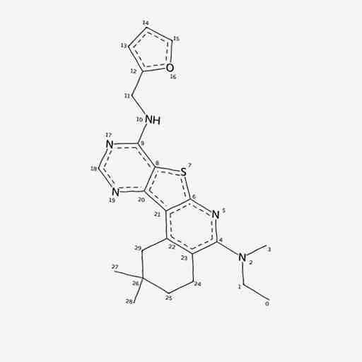 CCN(C)c1nc2sc3c(NCc4ccco4)ncnc3c2c2c1CCC(C)(C)C2